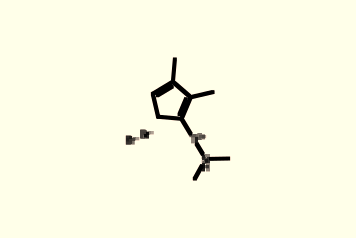 CC1=CC[C]([Ti+2][SiH](C)C)=C1C.[Br-].[Br-]